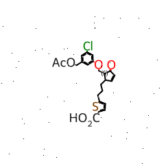 CC(=O)OCc1cc(Cl)cc(OC[C@H]2C(=O)C=CC2CCCc2ccc(C(=O)O)s2)c1